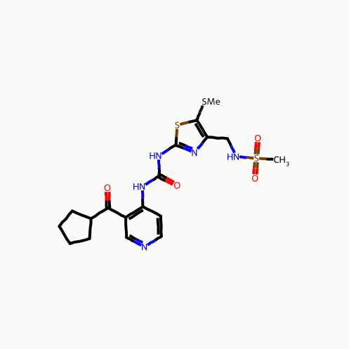 CSc1sc(NC(=O)Nc2ccncc2C(=O)C2CCCC2)nc1CNS(C)(=O)=O